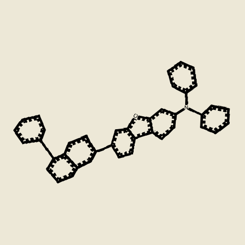 c1ccc(-c2cccc3cc(-c4ccc5c(c4)oc4cc(N(c6ccccc6)c6ccccc6)ccc45)ccc23)cc1